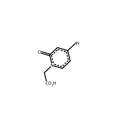 CC(C)c1ccn(CC(=O)O)c(=O)c1